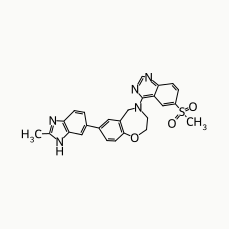 Cc1nc2ccc(-c3ccc4c(c3)CN(c3ncnc5ccc(S(C)(=O)=O)cc35)CCO4)cc2[nH]1